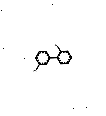 CC(=O)c1cccc(-c2cc[c]cc2C(C)=O)c1